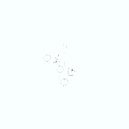 CN(C)CC(=O)OCN(c1ccc(F)c(-c2nn(CCF)cc2-c2ccncc2)c1F)S(=O)(=O)c1cc(F)ccc1F